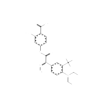 CCN(CC)c1ccc(/C(=N\O)C(=O)Nc2ccc(C(=O)O)c(O)c2)cc1C(C)(C)C